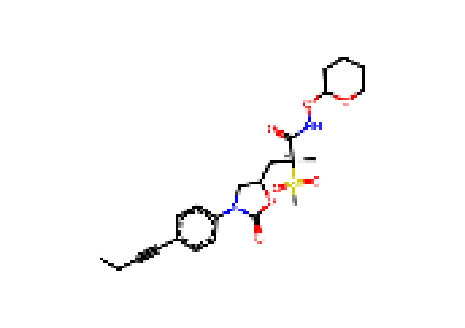 CCC#Cc1ccc(N2CC(C[C@](C)(C(=O)NOC3CCCCO3)S(C)(=O)=O)OC2=O)cc1